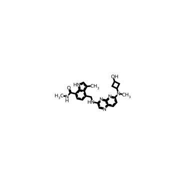 CNC(=O)c1ccc(CNc2cnc3ccc(N(C)C4CC(O)C4)nc3n2)c2c(C)c[nH]c12